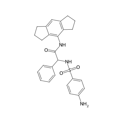 Nc1ccc(S(=O)(=O)NC(C(=O)Nc2c3c(cc4c2CCC4)CCC3)c2ccccc2)cc1